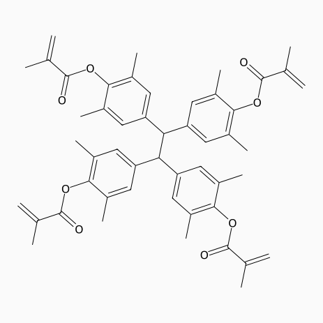 C=C(C)C(=O)Oc1c(C)cc(C(c2cc(C)c(OC(=O)C(=C)C)c(C)c2)C(c2cc(C)c(OC(=O)C(=C)C)c(C)c2)c2cc(C)c(OC(=O)C(=C)C)c(C)c2)cc1C